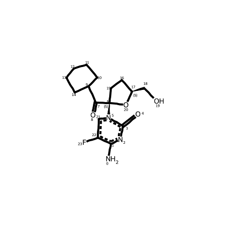 Nc1nc(=O)n([C@@]2(C(=O)C3CCCCC3)CC[C@@H](CO)O2)cc1F